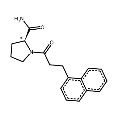 NC(=O)[C@@H]1CCCN1C(=O)CCc1cccc2ccccc12